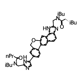 CCCC(=O)N(Cc1ncc(-c2ccc3c(c2)COc2cc4c(ccc5nc(CN(C(=O)C[C@@H](C)CC)[C@@H](C)CC)[nH]c54)cc2-3)[nH]1)[C@@H](C)CC